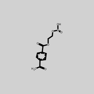 CC(=O)c1ccc(C(=O)OCCO[Si](=O)O)cc1